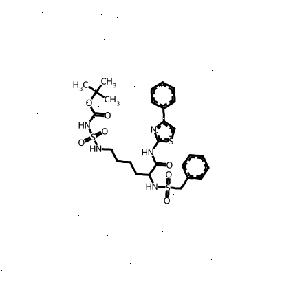 CC(C)(C)OC(=O)NS(=O)(=O)NCCCCC(NS(=O)(=O)Cc1ccccc1)C(=O)Nc1nc(-c2ccccc2)cs1